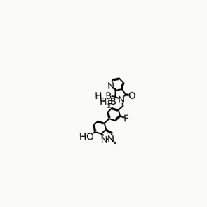 BC1(B)c2ncccc2C(=O)N1Cc1c(F)cc(-c2ccc(O)c3nn(C)cc23)cc1F